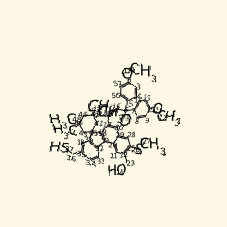 COc1ccc(C2(c3ccc(OC)cc3)C=Cc3c4c(c5cc(CO)c(SC)cc5c3O2)-c2ccc(CS)cc2C42CC(C)(C)CC(C)(C)C2)cc1